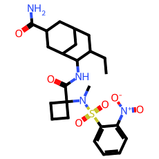 CCC1CC2CC(C(N)=O)CC(C2)C1NC(=O)C1(N(C)S(=O)(=O)c2ccccc2[N+](=O)[O-])CCC1